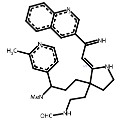 CNC(CCC1(CCNC=O)CCN/C1=C\C(=N)c1cnc2ccccc2c1)c1ccnc(C)c1